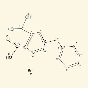 O=C(O)c1cc(C[n+]2ccccn2)cnc1C(=O)O.[Br-]